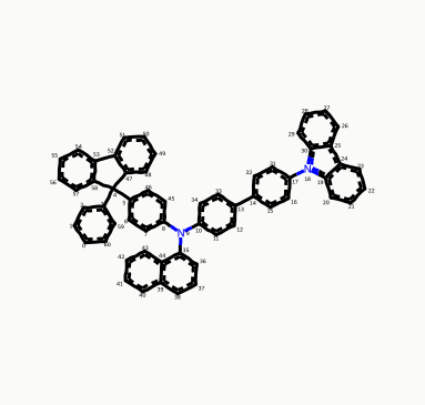 c1ccc(C2(c3ccc(N(c4ccc(-c5ccc(-n6c7ccccc7c7ccccc76)cc5)cc4)c4cccc5ccccc45)cc3)c3ccccc3-c3ccccc32)cc1